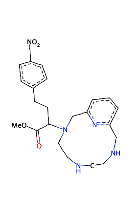 COC(=O)C(CCc1ccc([N+](=O)[O-])cc1)N1CCNCCNCc2cccc(n2)C1